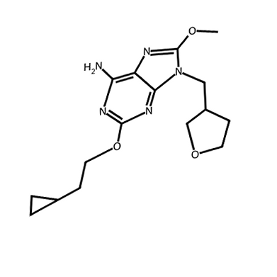 COc1nc2c(N)nc(OCCC3CC3)nc2n1CC1CCOC1